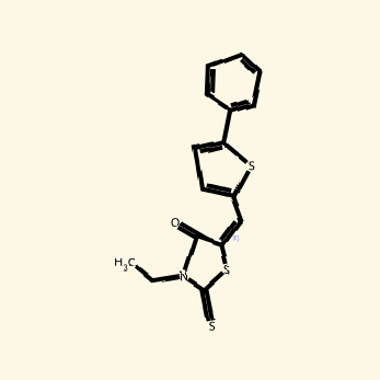 CCN1C(=O)/C(=C\c2ccc(-c3ccccc3)s2)SC1=S